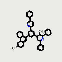 CC1C=CC2=CC(c3cc(C4=CC(c5ccccc5)=NC(c5ccccc5)C4C)cc(-c4ccc(-c5ccccc5)cn4)c3)=C3C=CCCC3C2C1